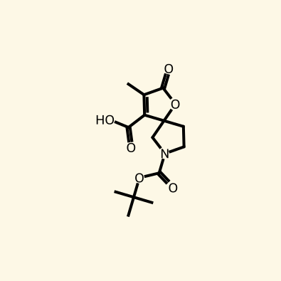 CC1=C(C(=O)O)C2(CCN(C(=O)OC(C)(C)C)C2)OC1=O